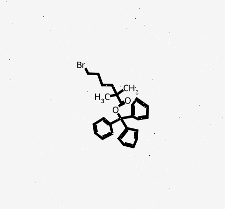 CC(C)(CCCCBr)C(=O)OC(c1ccccc1)(c1ccccc1)c1ccccc1